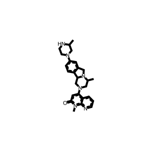 CC1CN(c2ccc3c(c2)CN2C(C)CN(c4cc(=O)n(C)c5ncccc45)CC32)CCN1